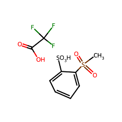 CS(=O)(=O)c1ccccc1S(=O)(=O)O.O=C(O)C(F)(F)F